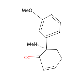 CN[C@]1(c2cccc(OC)c2)CCC=CC1=O